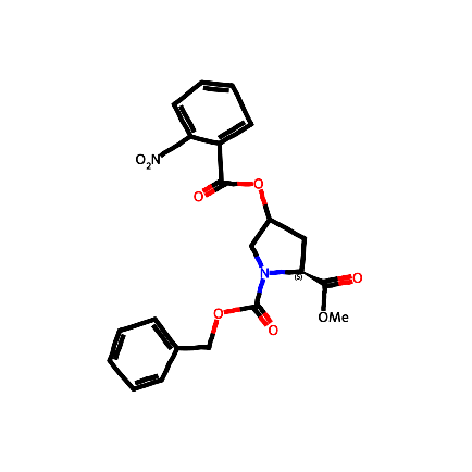 COC(=O)[C@@H]1CC(OC(=O)c2ccccc2[N+](=O)[O-])CN1C(=O)OCc1ccccc1